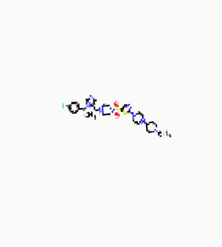 C[C@H](c1ccc(F)cc1)n1cncc1CN1CCN(S(=O)(=O)c2cnc(N3CCN(C4CCN(C)CC4)CC3)s2)CC1